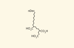 CCCCCCCCCCCCCCCCCCC(CCCC(CCC(=O)O)C(=O)O)C(=O)O